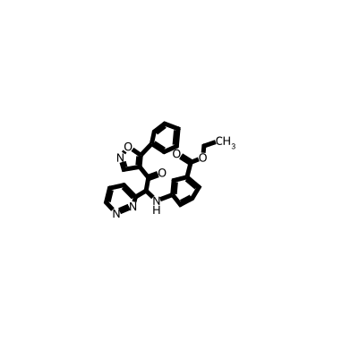 CCOC(=O)c1cccc(NC(C(=O)c2cnoc2-c2ccccc2)c2cccnn2)c1